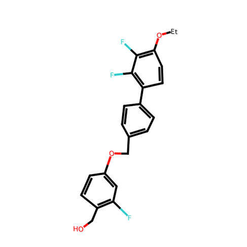 CCOc1ccc(-c2ccc(COc3ccc(CO)c(F)c3)cc2)c(F)c1F